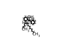 CCCCCCCCC(CCCC)c1cccc(O)c1C(C)(C)c1ccccc1